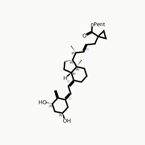 C=C1/C(=C\C=C2/CCC[C@]3(C)[C@@H]([C@H](C)/C=C/CC4(C(=O)CCCCC)CC4)CC[C@@H]23)C[C@@H](O)C[C@@H]1O